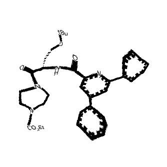 CCOC(=O)N1CCN(C(=O)[C@H](COC(C)(C)C)NC(=O)c2cc(-c3ccccc3)cc(-c3ccccc3)n2)CC1